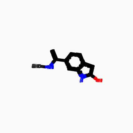 C=C(NC=O)c1ccc2cc(O)[nH]c2c1